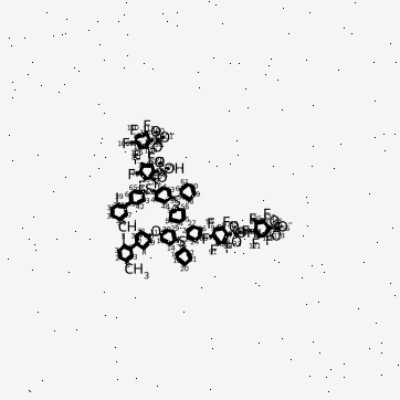 Cc1ccc(I)c(-c2ccc(Oc3ccc([S+](c4ccccc4)c4ccccc4)cc3)cc2)c1.Cc1ccc(I)c(-c2ccc(Sc3ccc([S+](c4ccccc4)c4ccccc4)cc3)cc2)c1.O=S(=O)(O)c1c(F)c(F)c(F)c(F)c1F.O=S(=O)(O)c1c(F)c(F)c(F)c(F)c1F.O=S(=O)([O-])c1c(F)c(F)c(F)c(F)c1F.O=S(=O)([O-])c1c(F)c(F)c(F)c(F)c1F